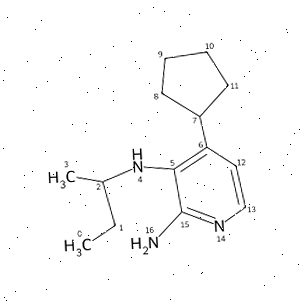 CCC(C)Nc1c(C2CCCC2)ccnc1N